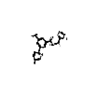 Cc1ccc(-c2cc(C(=O)N[C@@H](C)c3nnc[nH]3)cc(C(C)C)c2)nc1